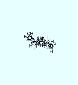 Cc1cc(NC(=O)c2c(C)c(C(=O)C(=O)NC(C)(C)c3cc[nH]n3)c(C)n2C)ccc1F